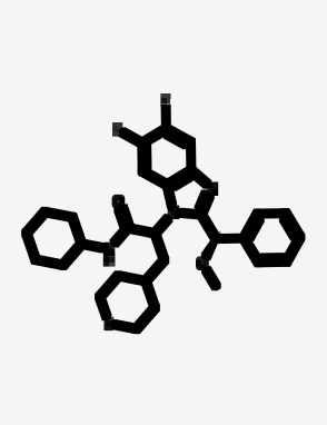 CO[C@H](c1ccccc1)c1nc2cc(F)c(F)cc2n1C(CC1CCSCC1)C(=O)NC1CCCCC1